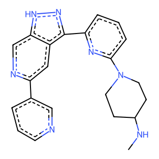 CNC1CCN(c2cccc(-c3n[nH]c4cnc(-c5cccnc5)cc34)n2)CC1